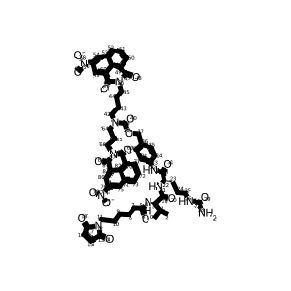 CC(C)[C@H](NC(=O)CCCCCN1C(=O)C=CC1=O)C(=O)N[C@@H](CCCNC(N)=O)C(=O)Nc1ccc(COC(=O)N(CCCCN2C(=O)c3cccc4cc([N+](=O)[O-])cc(c34)C2=O)CCCN2C(=O)c3cccc4cc([N+](=O)[O-])cc(c34)C2=O)cc1